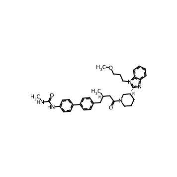 CNC(=O)Nc1ccc(-c2ccc(C[C@@H](C)CC(=O)N3CCC[C@@H](c4nc5ccccc5n4CCCOC)C3)cc2)cc1